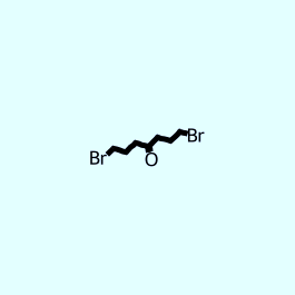 O=C(CCCBr)CCCBr